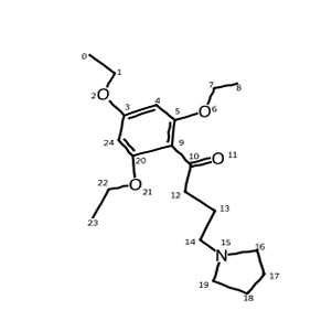 CCOc1cc(OCC)c(C(=O)CCCN2CCCC2)c(OCC)c1